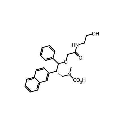 CN(C[C@H](c1ccc2ccccc2c1)[C@H](OCC(=O)NCCO)c1ccccc1)C(=O)O